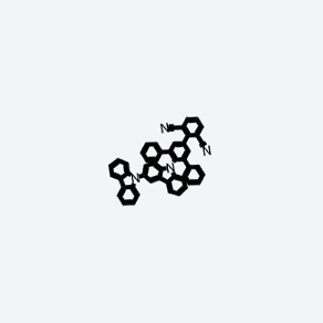 N#Cc1cccc(C#N)c1-c1cc(-c2ccccc2)c(-n2c3ccccc3c3cc(-n4c5ccccc5c5ccccc54)ccc32)c(-c2ccccc2)c1